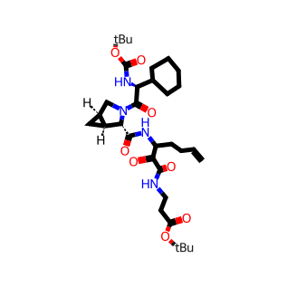 C=CCCC(NC(=O)[C@@H]1[C@H]2C[C@H]2CN1C(=O)[C@@H](NC(=O)OC(C)(C)C)C1CCCCC1)C(=O)C(=O)NCCC(=O)OC(C)(C)C